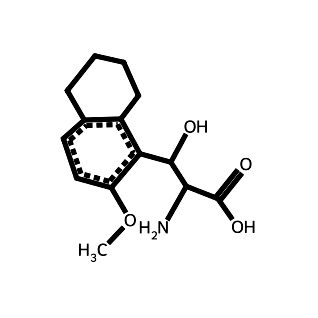 COc1ccc2c(c1C(O)C(N)C(=O)O)CCCC2